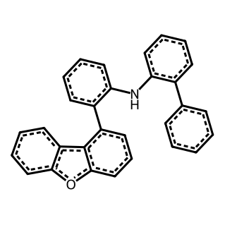 c1ccc(-c2ccccc2Nc2ccccc2-c2cccc3oc4ccccc4c23)cc1